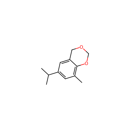 Cc1cc(C(C)C)cc2c1OCOC2